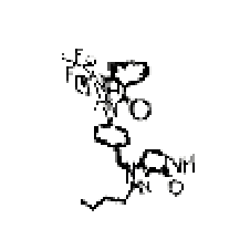 CCCCc1nc2c(=O)[nH]ccc2n1Cc1ccc(NC(=O)c2ccccc2NS(=O)(=O)C(F)(F)F)cc1